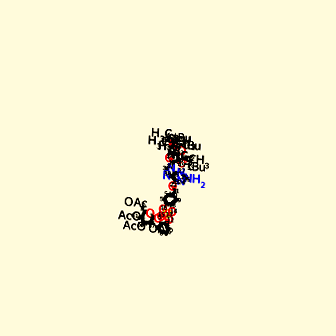 CC(=O)OC[C@H]1OC(Oc2ccccc2OS(=O)(=O)Oc2ccc(COc3nc(N)nc4c3ncn4[C@@H]3O[C@H](CO[Si](C)(C)C(C)(C)C)C(O[Si](C)(C)C(C)(C)C)[C@@H]3O[Si](C)(C)C(C)(C)C)cc2)[C@H](OC(C)=O)[C@@H](OC(C)=O)[C@H]1OC(C)=O